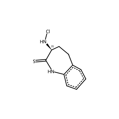 S=C1Nc2ccccc2CC[C@@H]1NCl